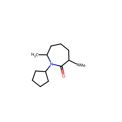 CNC1CCCC(C)N(C2CCCC2)C1=O